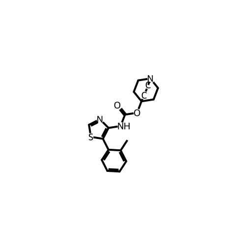 Cc1ccccc1-c1scnc1NC(=O)OC12CCN(CC1)CC2